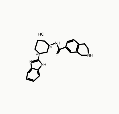 Cl.O=C(N[C@@H]1CCC[C@H](c2nc3ccccc3[nH]2)C1)c1ccc2c(c1)CNCC2